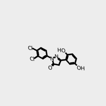 O=C1CC(c2cc(O)ccc2O)=NN1c1ccc(Cl)c(Cl)c1